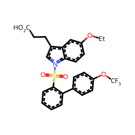 CCOc1ccc2c(c1)c(CCC(=O)O)cn2S(=O)(=O)c1ccccc1-c1ccc(OC(F)(F)F)cc1